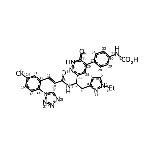 CCn1ccc(CC(NC(=O)C=Cc2cc(Cl)ccc2-n2cnnn2)c2cc(-c3ccc(NC(=O)O)cc3)c(=O)[nH]n2)n1